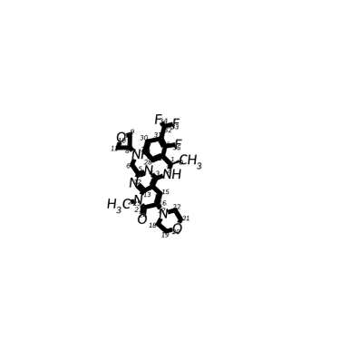 C[C@@H](Nc1nc(CNC2COC2)nc2c1cc(N1CCOCC1)c(=O)n2C)c1cccc(C(F)F)c1F